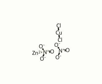 O=[N+]([O-])[O-].O=[N+]([O-])[O-].[Cl][Cu][Cl].[Zn+2]